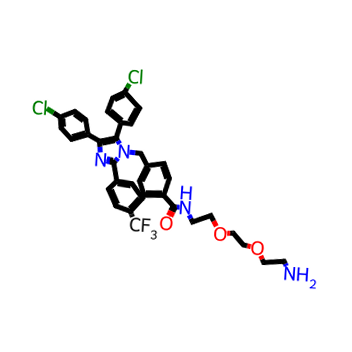 NCCOCCOCCNC(=O)c1ccc(Cn2c(-c3ccc(C(F)(F)F)cc3)nc(-c3ccc(Cl)cc3)c2-c2ccc(Cl)cc2)cc1